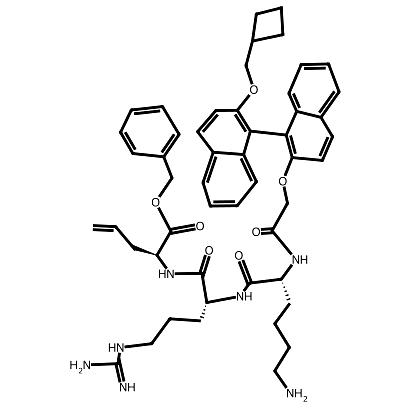 C=CC[C@H](NC(=O)[C@@H](CCCNC(=N)N)NC(=O)[C@@H](CCCCN)NC(=O)COc1ccc2ccccc2c1-c1c(OCC2CCC2)ccc2ccccc12)C(=O)OCc1ccccc1